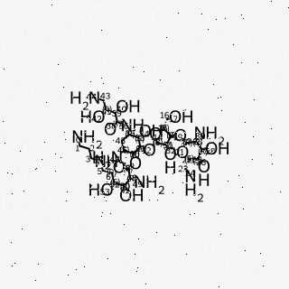 NCCCNC[C@H]1O[C@H](O[C@H]2[C@H](O[C@@H]3O[C@H](CO)[C@@H](O[C@H]4O[C@@H](CN)[C@@H](O)[C@H](O)[C@H]4N)[C@H]3O)[C@@H](O)[C@H](NC(=O)C(O)[C@H](O)CN)C[C@@H]2N)[C@H](N)[C@@H](O)[C@@H]1O